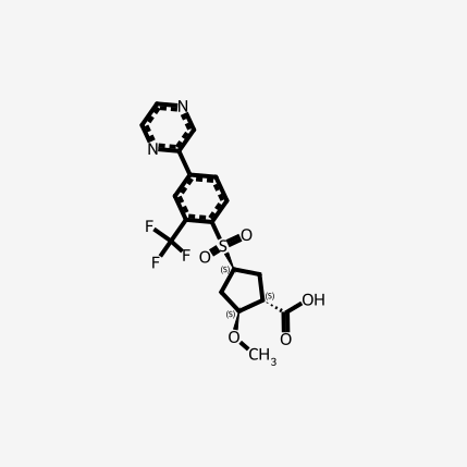 CO[C@H]1C[C@@H](S(=O)(=O)c2ccc(-c3cnccn3)cc2C(F)(F)F)C[C@@H]1C(=O)O